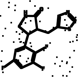 O=C1NCC(c2cc(F)cc(F)c2F)C1Cc1cncs1